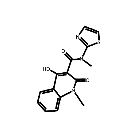 CN(C(=O)c1c(O)c2ccccc2n(C)c1=O)c1nccs1